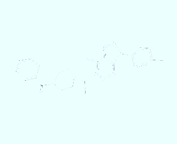 O=C(c1ccc(F)cc1)N1CCC(O)(C(CO)n2cnc3c(cnn3-c3ccc(F)cc3)c2=O)CC1